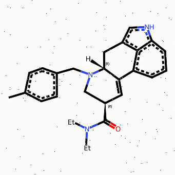 CCN(CC)C(=O)[C@@H]1C=C2c3cccc4[nH]cc(c34)C[C@H]2N(Cc2ccc(C)cc2)C1